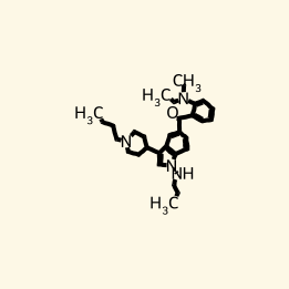 CCCCN1CCC(c2cn(NCCC)c3ccc(C(=O)c4ccccc4N(CC)CC)cc23)CC1